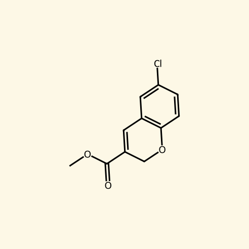 COC(=O)C1=Cc2cc(Cl)ccc2OC1